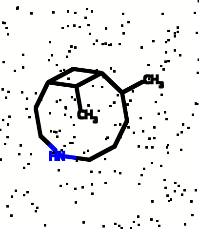 CC1CCCNCCC2CC1C2C